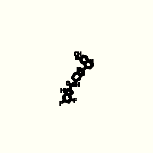 COc1ccc2nccc(-n3cc4c(n3)CCC(NC(=O)c3cc5c(F)cc(F)cc5[nH]3)C4)c2c1